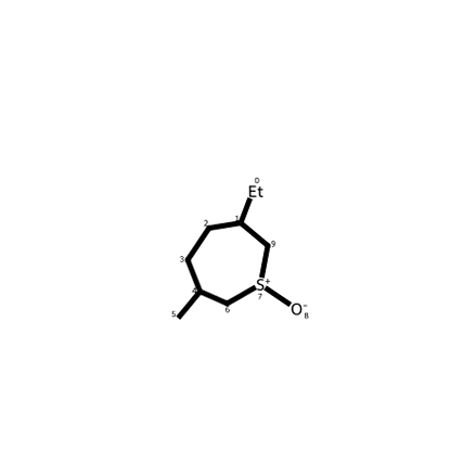 CCC1CCC(C)C[S+]([O-])C1